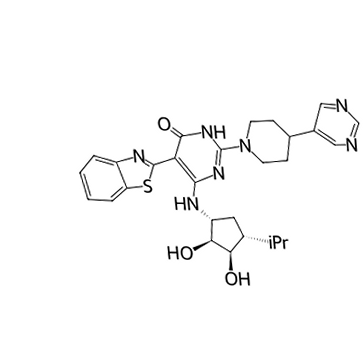 CC(C)[C@H]1C[C@@H](Nc2nc(N3CCC(c4cncnc4)CC3)[nH]c(=O)c2-c2nc3ccccc3s2)[C@H](O)[C@@H]1O